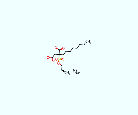 C=CCOS(=O)(=O)C(CCCCCCCC)(CC(=O)[O-])C(=O)[O-].[Na+].[Na+]